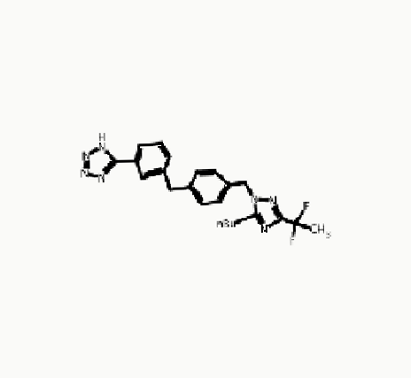 CCCCc1nc(C(C)(F)F)nn1Cc1ccc(Cc2cccc(-c3nnn[nH]3)c2)cc1